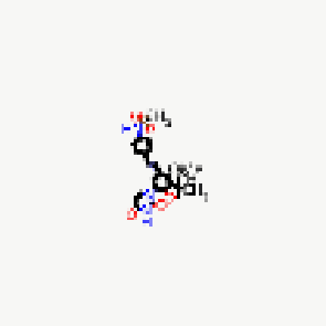 COc1c(/C=C/c2ccc(NS(C)(=O)=O)cc2)cc(-n2ccc(=O)[nH]c2=O)c2c1C(C)(C)CO2